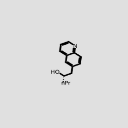 CCC[C@H](O)Cc1ccc2ncccc2c1